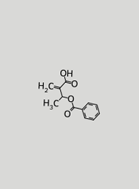 C=C(C(=O)O)C(C)OC(=O)c1ccccc1